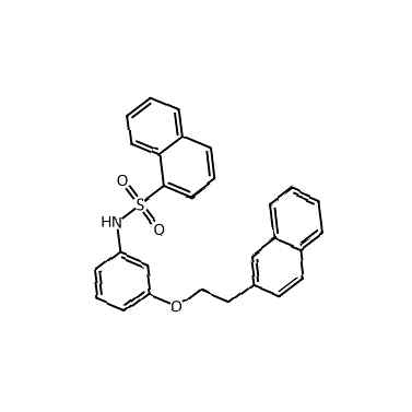 O=S(=O)(Nc1cccc(OCCc2ccc3ccccc3c2)c1)c1cccc2ccccc12